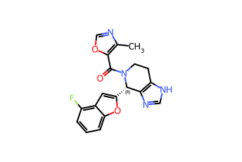 Cc1ncoc1C(=O)N1CCc2[nH]cnc2[C@@H]1c1cc2c(F)cccc2o1